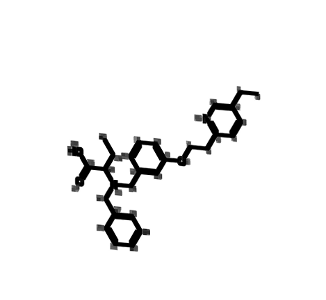 CCc1ccc(CCOc2cccc(CN(Cc3ccccc3)C(CC)C(=O)O)c2)nc1